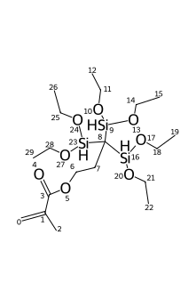 C=C(C)C(=O)OCCC([SiH](OCC)OCC)([SiH](OCC)OCC)[SiH](OCC)OCC